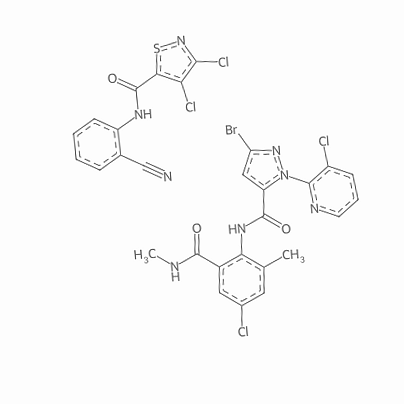 CNC(=O)c1cc(Cl)cc(C)c1NC(=O)c1cc(Br)nn1-c1ncccc1Cl.N#Cc1ccccc1NC(=O)c1snc(Cl)c1Cl